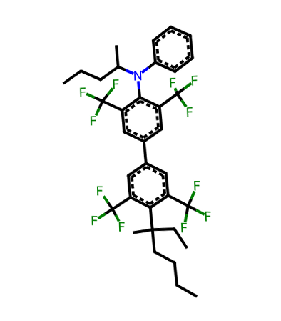 CCCCC(C)(CC)c1c(C(F)(F)F)cc(-c2cc(C(F)(F)F)c(N(c3ccccc3)C(C)CCC)c(C(F)(F)F)c2)cc1C(F)(F)F